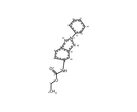 CCOC(=O)Nc1ccc2nn(-c3ccccc3)nc2c1